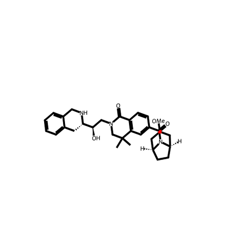 COC1C[C@H]2CC[C@@H](C1)N2C(=O)c1ccc2c(c1)C(C)(C)CN(C[C@@H](O)[C@@H]1Cc3ccccc3CN1)C2=O